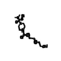 CCOP(=O)(N(C)C)N1CCN(C(=O)OCCOCCO)CC1